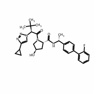 C[C@@H](NC(=O)[C@@H]1C[C@@H](O)CN1C(=O)[C@@H](n1cc(C2CC2)nn1)C(C)(C)C)c1ccc(-c2ccccc2F)cc1